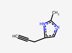 C#CCc1cnc(C)[nH]1